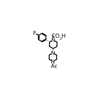 CC(=O)N1CCN([C@H]2CCN(C(=O)O)[C@@H](c3ccc(F)cc3)C2)CC1